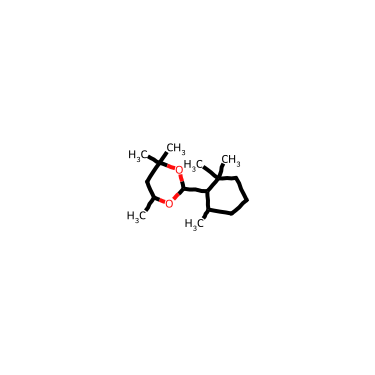 CC1CC(C)(C)OC(C2C(C)CCCC2(C)C)O1